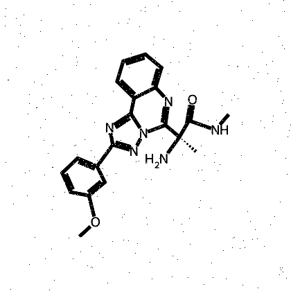 CNC(=O)[C@@](C)(N)c1nc2ccccc2c2nc(-c3cccc(OC)c3)nn12